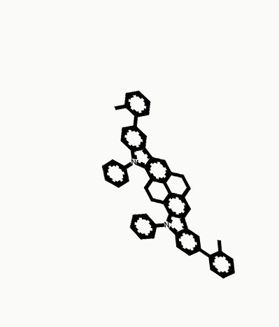 Cc1ccccc1-c1ccc2c(c1)c1cc3c4c(c1n2-c1ccccc1)CCc1c-4c(cc2c4cc(-c5ccccc5C)ccc4n(-c4ccccc4)c12)CC3